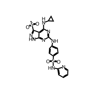 CS(=O)(=O)c1n[nH]c2nc(Nc3ccc(S(=O)(=O)Nc4ccccn4)cc3)nc(NC3CC3)c12